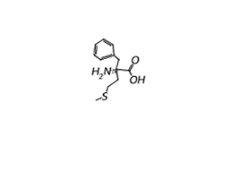 CSCC[C@@](N)(Cc1ccccc1)C(=O)O